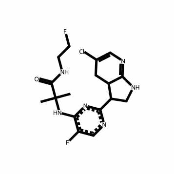 CC(C)(Nc1nc(C2CNC3=NC=C(Cl)CC32)ncc1F)C(=O)NCCF